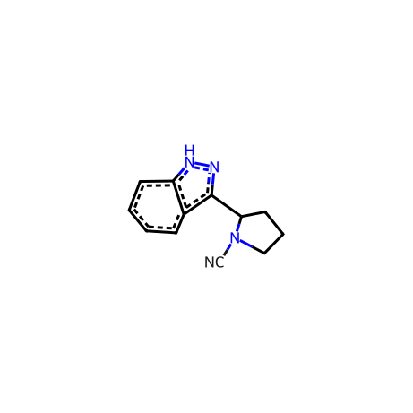 N#CN1CCCC1c1n[nH]c2ccccc12